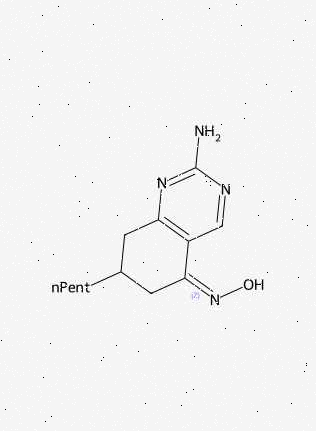 CCCCCC1C/C(=N/O)c2cnc(N)nc2C1